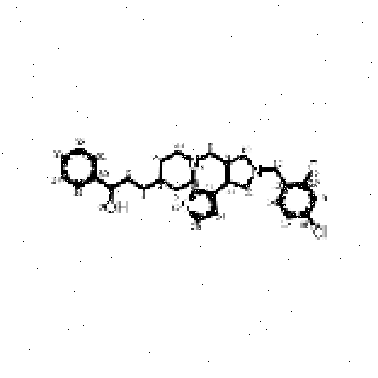 OC(CCC1CCN(CC2CN(Cc3ccc(Cl)cc3Cl)CC2c2ccsc2)CC1)c1ccccc1